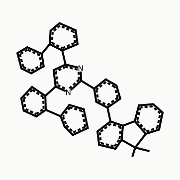 CC1(C)c2ccccc2-c2c(-c3cccc(-c4nc(-c5ccccc5-c5ccccc5)cc(-c5ccccc5-c5ccccc5)n4)c3)cccc21